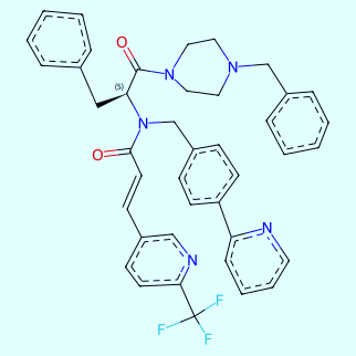 O=C([C@H](Cc1ccccc1)N(Cc1ccc(-c2ccccn2)cc1)C(=O)C=Cc1ccc(C(F)(F)F)nc1)N1CCN(Cc2ccccc2)CC1